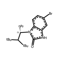 CCC[C@@H](C(C(C)(C)C)C(C)(C)C)n1c(=O)[nH]c2cc(Br)ccc21